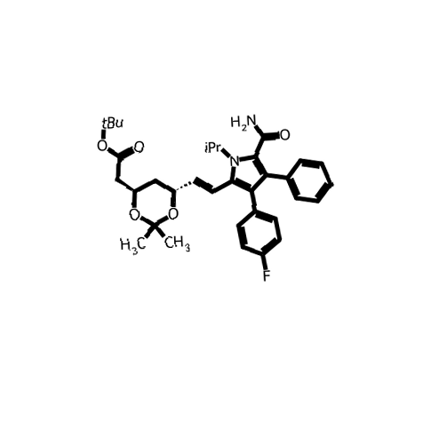 CC(C)n1c(C=C[C@H]2C[C@H](CC(=O)OC(C)(C)C)OC(C)(C)O2)c(-c2ccc(F)cc2)c(-c2ccccc2)c1C(N)=O